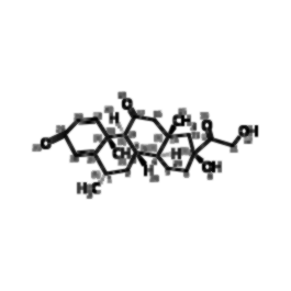 C[C@H]1C[C@H]2[C@@H]3CC[C@@](O)(C(=O)CO)C[C@@]3(C)CC(=O)[C@@H]2[C@@]2(C)C=CC(=O)C=C12